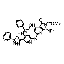 COCn1c(=O)c2ccc(Nc3cc(N[C@H](CO)c4ccccc4)c(-c4nnc(-c5cccnc5)o4)cn3)nc2n1C(C)C